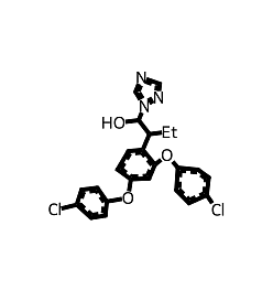 CCC(c1ccc(Oc2ccc(Cl)cc2)cc1Oc1ccc(Cl)cc1)C(O)n1cncn1